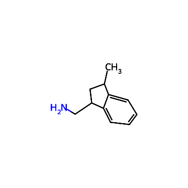 CC1CC(CN)c2ccccc21